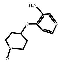 Nc1cnccc1OC1CC[S+]([O-])CC1